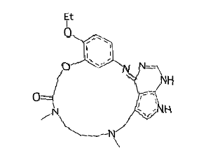 CCOc1ccc2cc1OCC(=O)N(C)CCCN(C)Cc1c[nH]c3c1/C(=N\2)N=CN3